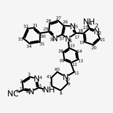 N#Cc1ccnc(NC2CCN(Cc3ccc(-n4c(-c5cccnc5N)nc5ccc(-c6ccccc6)nc54)cc3)CC2)n1